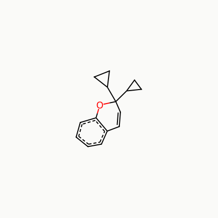 C1=CC(C2CC2)(C2CC2)Oc2ccccc21